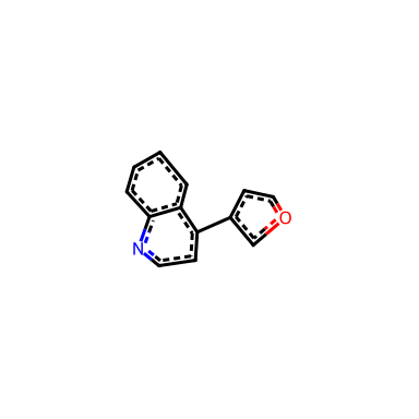 c1ccc2c(-c3ccoc3)ccnc2c1